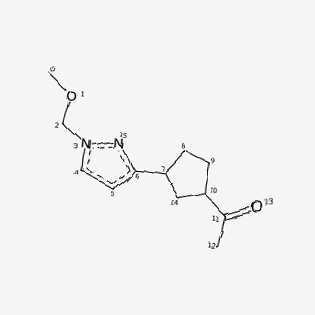 COCn1ccc(C2CCC(C(C)=O)C2)n1